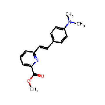 COC(=O)c1cccc(C=Cc2ccc(N(C)C)cc2)n1